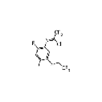 Cc1cc(F)c(N=C(Cl)C(F)(F)F)cc1SCC(F)(F)F